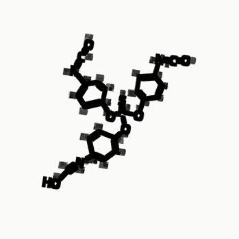 O=C=Nc1ccc(OP(=S)(Oc2ccc(N=C=O)cc2)Oc2ccc([N+]#CO)cc2)cc1